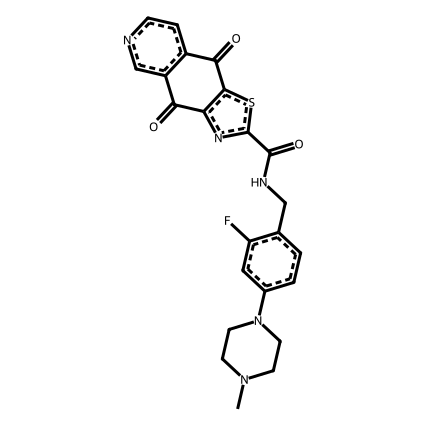 CN1CCN(c2ccc(CNC(=O)c3nc4c(s3)C(=O)c3ccncc3C4=O)c(F)c2)CC1